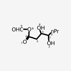 CCCC(O)C(O)CC(=O)OC=O